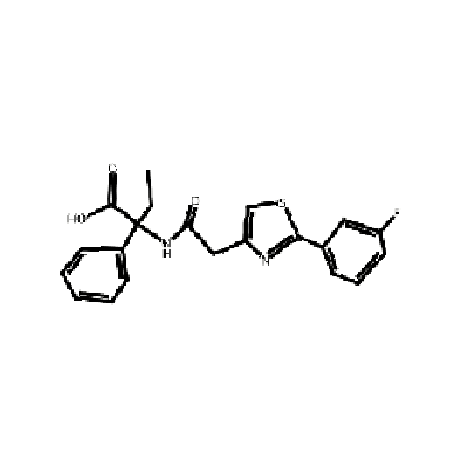 CCC(NC(=O)Cc1csc(-c2cccc(F)c2)n1)(C(=O)O)c1ccccc1